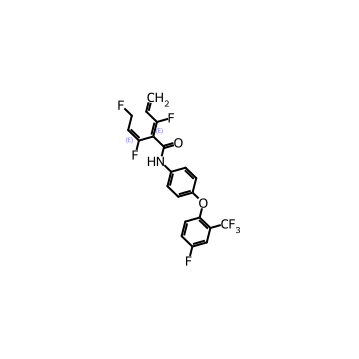 C=C/C(F)=C(C(=O)Nc1ccc(Oc2ccc(F)cc2C(F)(F)F)cc1)\C(F)=C/CF